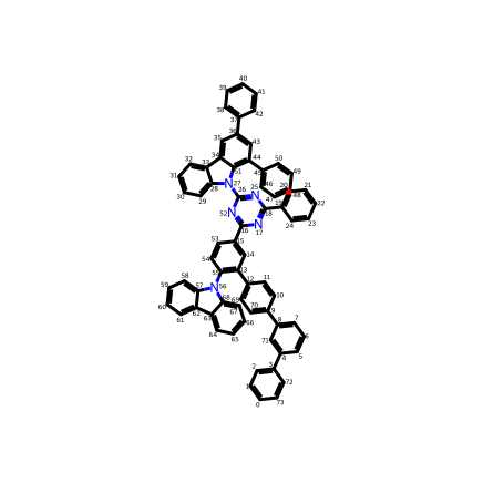 c1ccc(-c2cccc(-c3ccc(-c4cc(-c5nc(-c6ccccc6)nc(-n6c7ccccc7c7cc(-c8ccccc8)cc(-c8ccccc8)c76)n5)ccc4-n4c5ccccc5c5ccccc54)cc3)c2)cc1